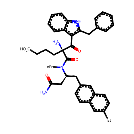 CCCN(C(=O)[C@](N)(CCCC(=O)O)C(=O)c1c(Cc2ccccc2)[nH]c2ccccc12)[C@H](CC(N)=O)Cc1ccc2cc(CC)ccc2c1